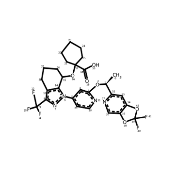 C[C@H](Oc1cc(-n2nc(C(F)(F)F)c3c2C(OC2(C(=O)O)CCCCC2)CCC3)ccn1)c1cc2c(cn1)OC(F)(F)O2